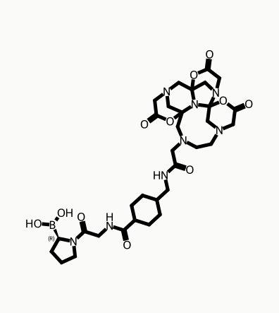 O=C(CN1CCN2CC(=O)OC3(C2)N2CC(=O)OC4(CN5CC(=O)OC(C1)(C5)N43)C2)NCC1CCC(C(=O)NCC(=O)N2CCC[C@H]2B(O)O)CC1